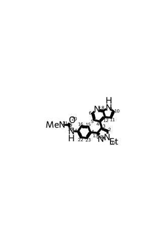 CCn1cc(-c2ccnc3[nH]ccc23)c(-c2ccc(NC(=O)NC)cc2)n1